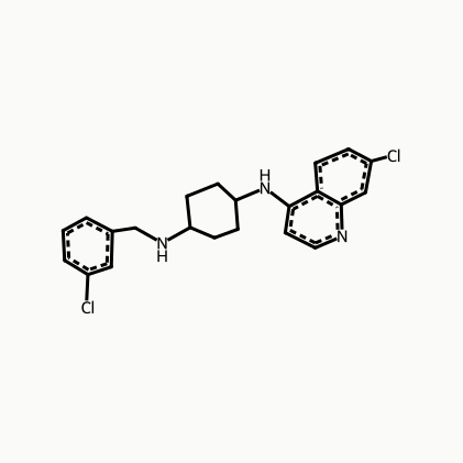 Clc1cccc(CNC2CCC(Nc3ccnc4cc(Cl)ccc34)CC2)c1